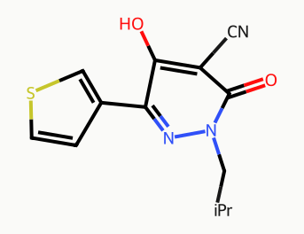 CC(C)Cn1nc(-c2ccsc2)c(O)c(C#N)c1=O